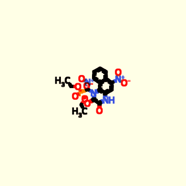 CCOP(=O)(Cn1c(=O)c(=O)[nH]c2cc([N+](=O)[O-])c3cccc([N+](=O)[O-])c3c21)OCC